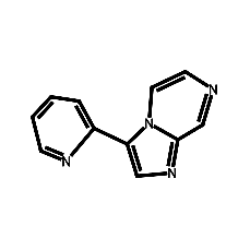 c1ccc(-c2cnc3cnccn23)nc1